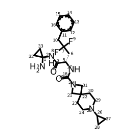 NC1(NC(=O)[C@H](CC(F)(F)Cc2ccccc2)NC(=O)N2CC3(CCN(C4CC4)CC3)C2)CC1